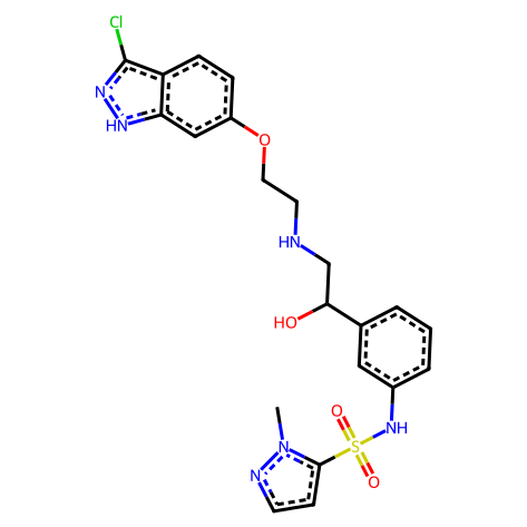 Cn1nccc1S(=O)(=O)Nc1cccc(C(O)CNCCOc2ccc3c(Cl)n[nH]c3c2)c1